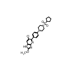 COc1nc2nc(-c3ccc(N4CCN(S(=O)(=O)C5CCCC5)CC4)cc3)c(Cl)cc2[nH]1